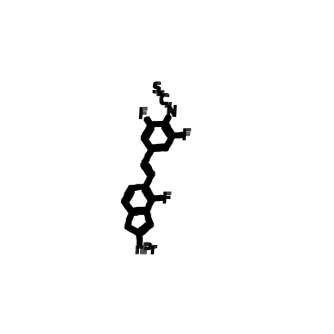 CCCC1=Cc2c(ccc(/C=C/c3cc(F)c(N=C=S)c(F)c3)c2F)C1